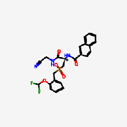 N#CCNC(=O)[C@H](CS(=O)(=O)Cc1ccccc1OC(F)F)NC(=O)c1ccc2ccccc2c1